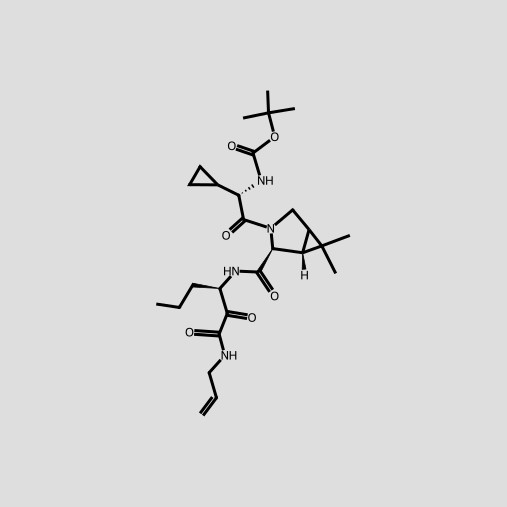 C=CCNC(=O)C(=O)[C@@H](CCC)NC(=O)[C@@H]1[C@@H]2C(CN1C(=O)[C@@H](NC(=O)OC(C)(C)C)C1CC1)C2(C)C